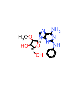 COC1C(O)[C@@H](CO)O[C@H]1n1cnc2c(N)nc(Nc3ccccc3)nc21